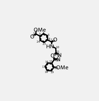 COC(=O)c1ccc(C(=O)NCc2nnc(-c3ccccc3OC)o2)cc1